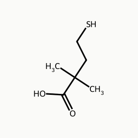 CC(C)(CCS)C(=O)O